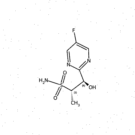 C[C@@H]([C@H](O)c1ncc(F)cn1)S(N)(=O)=O